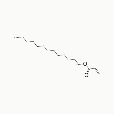 [CH2]CCCCCCCCCCC[CH]OC(=O)C=C